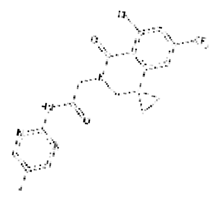 O=C(CN1CC2(CC2)c2cc(C(F)(F)F)cc(Cl)c2C1=O)Nc1ncc(F)cn1